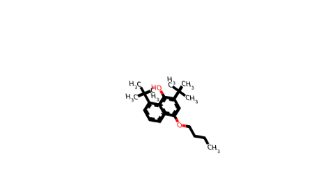 CCCCOc1cc(C(C)(C)C)c(O)c2c(C(C)(C)C)cccc12